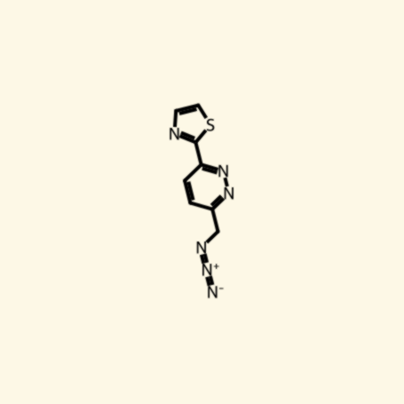 [N-]=[N+]=NCc1ccc(-c2nccs2)nn1